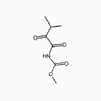 COC(=O)NC(=O)C(=O)C(C)C